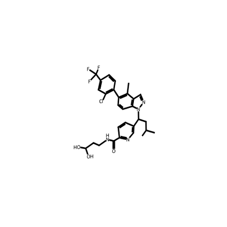 Cc1c(-c2ccc(C(F)(F)F)cc2Cl)ccc2c1cnn2C(CC(C)C)c1ccc(C(=O)NCCC(O)O)nc1